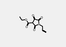 C=CCN1C(=O)C(=O)C(C(=O)OCC)C1=O